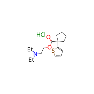 CCN(CC)CCOC(=O)C1(c2cccs2)CCCC1.Cl